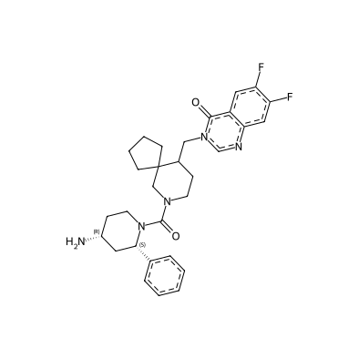 N[C@@H]1CCN(C(=O)N2CCC(Cn3cnc4cc(F)c(F)cc4c3=O)C3(CCCC3)C2)[C@H](c2ccccc2)C1